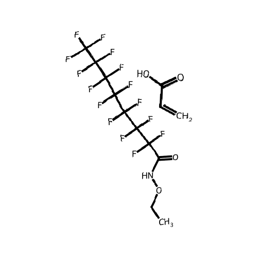 C=CC(=O)O.CCONC(=O)C(F)(F)C(F)(F)C(F)(F)C(F)(F)C(F)(F)C(F)(F)C(F)(F)F